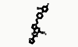 Nc1nc2c(ccn2CCN2CCN(c3ccc(F)cc3Br)CC2)c2nc(-c3ccco3)nn12